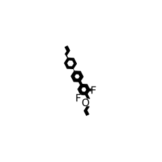 C=CCOCc1c(F)cc(-c2ccc([C@H]3CC[C@H](CC=C)CC3)cc2)cc1F